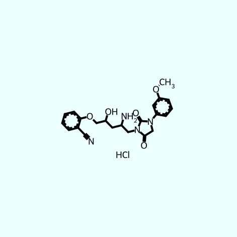 COc1cccc(N2CC(=O)N(CC(N)CC(O)COc3ccccc3C#N)C2=O)c1.Cl